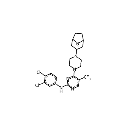 CN1C2CCC1CC(N1CCN(c3nc(Nc4ccc(Cl)c(Cl)c4)ncc3C(F)(F)F)CC1)C2